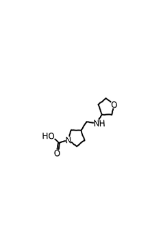 O=C(O)N1CCC(CNC2CCOC2)C1